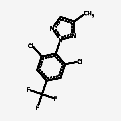 Cc1cnn(-c2c(Cl)cc(C(F)(F)F)cc2Cl)n1